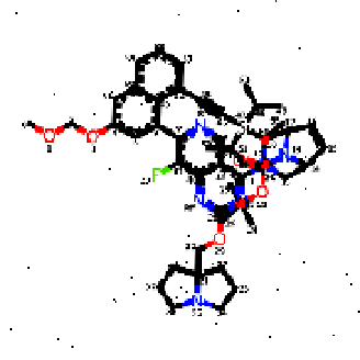 COCOc1cc(-c2ncc3c(N4CC5C=CC(C4)N5C(=O)OC(C)(C)C)nc(OCC45CCCN4CCC5)nc3c2F)c2c(C#C[Si](C(C)C)(C(C)C)C(C)C)cccc2c1